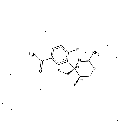 NC(=O)c1ccc(F)c([C@]2(CF)N=C(N)OC[C@H]2F)c1